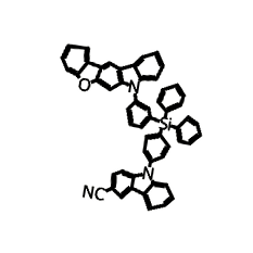 N#Cc1ccc2c(c1)c1ccccc1n2-c1ccc([Si](c2ccccc2)(c2ccccc2)c2cccc(-n3c4ccccc4c4cc5c(cc43)oc3ccccc35)c2)cc1